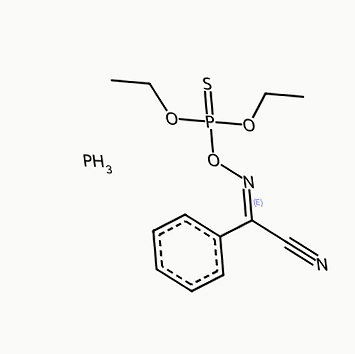 CCOP(=S)(OCC)O/N=C(/C#N)c1ccccc1.P